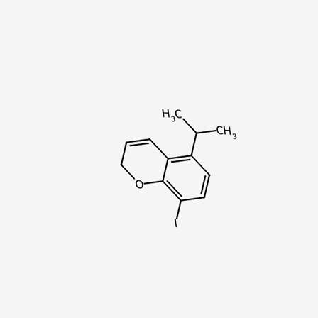 CC(C)c1ccc(I)c2c1C=CCO2